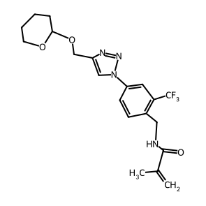 C=C(C)C(=O)NCc1ccc(-n2cc(COC3CCCCO3)nn2)cc1C(F)(F)F